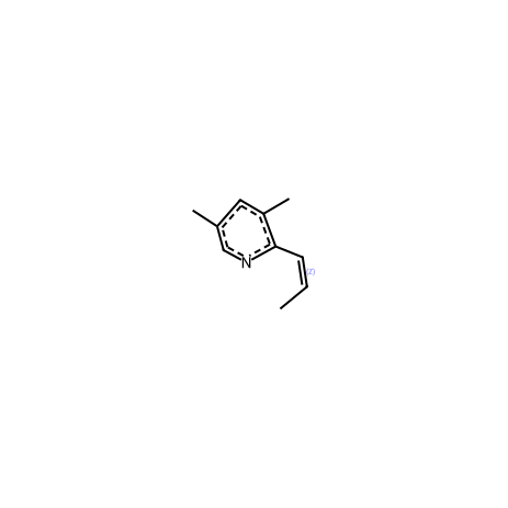 C/C=C\c1ncc(C)cc1C